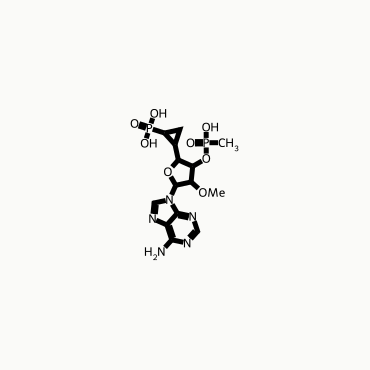 COC1C(OP(C)(=O)O)C(C2CC2P(=O)(O)O)OC1n1cnc2c(N)ncnc21